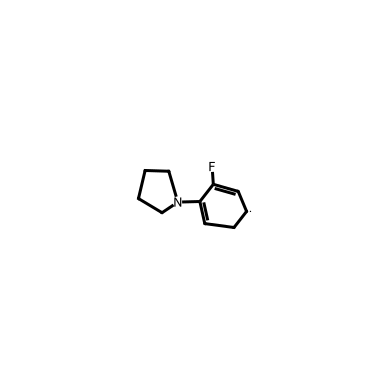 FC1=C[CH]CC=C1N1CCCC1